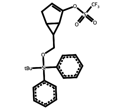 CC(C)(C)[Si](OCC1C2CC=C(OS(=O)(=O)C(F)(F)F)C21)(c1ccccc1)c1ccccc1